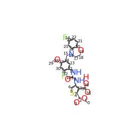 COC(=O)c1scc(NC(=O)Nc2cc(CN3CCOc4ccc(F)cc43)c(OC)cc2F)c1C(=O)O